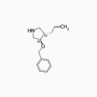 C=CC[C@H]1CNC[C@@H]1OCc1ccccc1